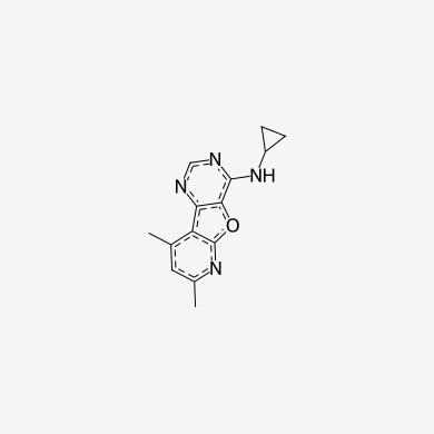 Cc1cc(C)c2c(n1)oc1c(NC3CC3)ncnc12